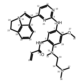 C=CC(=O)Nc1cc(Nc2nccc(-c3cn4c5c(cccc35)CC4)n2)c(OC)cc1N(C)CCN(C)C